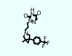 CC12CN(CCCn3ncc(=O)[nH]c3=O)CC1(c1ccc(C(F)(F)F)cc1)C2